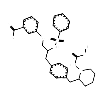 CC(C)(C)OC(=O)NN1CCCCC1Cc1ccc(CC(COc2cccc(C(=N)N)c2)NS(=O)(=O)c2ccccc2)cc1